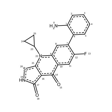 Nc1ccccc1-c1cc2c(cc1F)c(=O)c1c(=O)[nH]sc1n2C1CC1